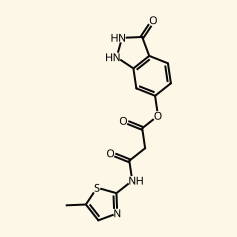 Cc1cnc(NC(=O)CC(=O)Oc2ccc3c(=O)[nH][nH]c3c2)s1